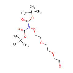 CC(C)(C)OC(=O)N(OCCOCCOCC=O)C(=O)OC(C)(C)C